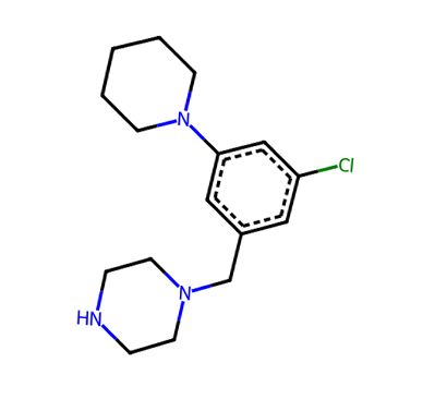 Clc1cc(CN2CCNCC2)cc(N2CCCCC2)c1